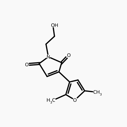 Cc1cc(C2=CC(=O)N(CCO)C2=O)c(C)o1